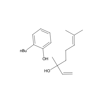 C=CC(C)(O)CCC=C(C)C.CCCCc1ccccc1O